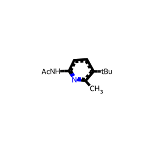 CC(=O)Nc1ccc(C(C)(C)C)c(C)n1